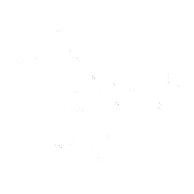 C=CC(=O)N1CCN(c2nc(OC[C@@H]3CC(F)(F)CN3)nc3cc(-c4cc(N)cc(F)c4Cl)c4ccoc4c23)C[C@@H]1CCOC(=O)C(F)(F)F